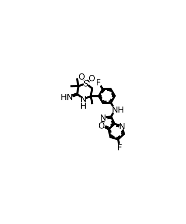 CC1(c2cc(Nc3noc4cc(F)cnc34)ccc2F)CS(=O)(=O)C(C)(C)C(=N)N1